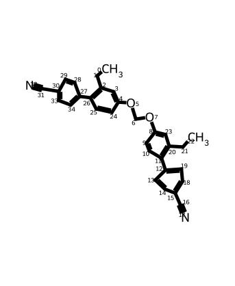 CCc1cc(OCOc2ccc(-c3ccc(C#N)cc3)c(CC)c2)ccc1-c1ccc(C#N)cc1